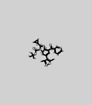 Cc1noc(C)c1C1=CC(C(=O)c2cccnc2)=C2N=C(C3CC3)N(C(=O)OC(C)(C)C)C2C1